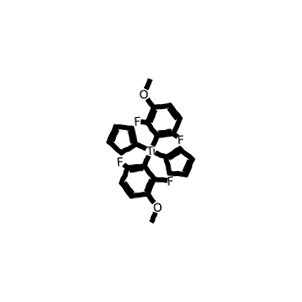 COc1ccc(F)[c]([Ti]([C]2=CC=CC2)([C]2=CC=CC2)[c]2c(F)ccc(OC)c2F)c1F